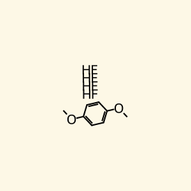 COc1ccc(OC)cc1.F.F.F.F